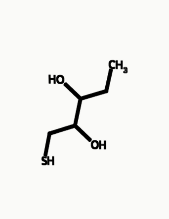 CCC(O)C(O)CS